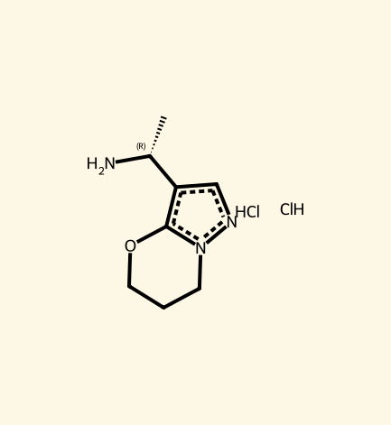 C[C@@H](N)c1cnn2c1OCCC2.Cl.Cl